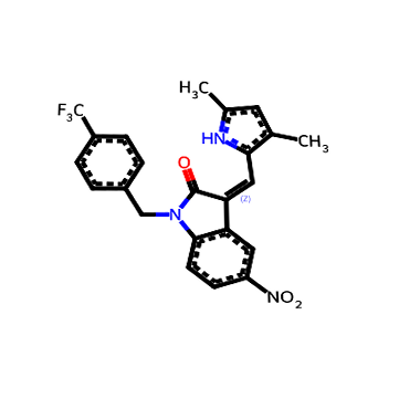 Cc1cc(C)c(/C=C2\C(=O)N(Cc3ccc(C(F)(F)F)cc3)c3ccc([N+](=O)[O-])cc32)[nH]1